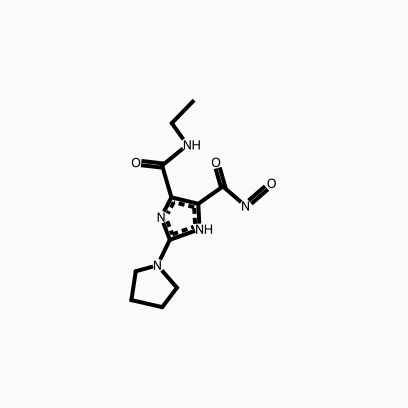 CCNC(=O)c1nc(N2CCCC2)[nH]c1C(=O)N=O